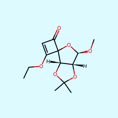 CCOC1=CC(=O)C12O[C@@H](OC)[C@@H]1OC(C)(C)O[C@@H]12